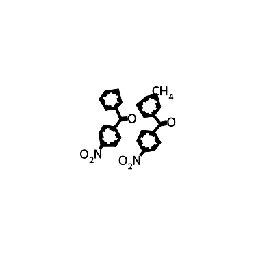 C.O=C(c1ccccc1)c1ccc([N+](=O)[O-])cc1.O=C(c1ccccc1)c1ccc([N+](=O)[O-])cc1